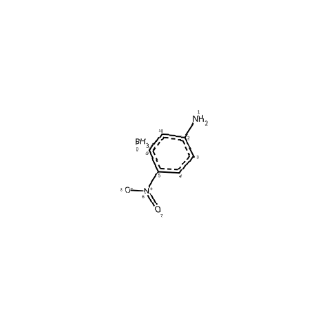 B.Nc1ccc([N+](=O)[O-])cc1